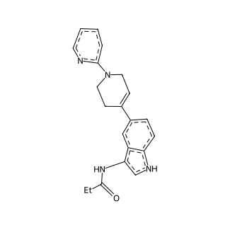 CCC(=O)Nc1c[nH]c2ccc(C3=CCN(c4ccccn4)CC3)cc12